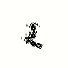 Cc1c(NC(=O)c2ccc(C(C)(C)C)cn2)cccc1-c1cn(C)c(=O)c(Nc2ccc(N3CCS(=O)(=O)CC3)cc2)n1